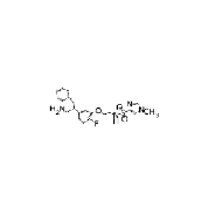 Cn1cnc(S(=O)(=O)NCCOc2cc(C(CN)Cc3ccccc3)ccc2F)c1